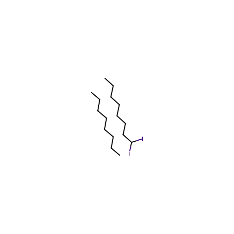 CCCCCCCC.CCCCCCCC(I)I